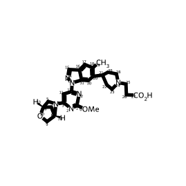 COc1nc(N2C[C@@H]3C[C@H]2CO3)cc(-n2ncc3cc(C)c(C4CCN(CCC(=O)O)CC4)cc32)n1